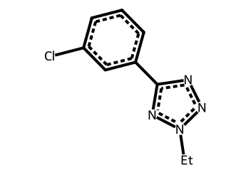 CCn1nnc(-c2cccc(Cl)c2)n1